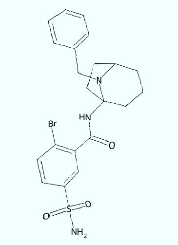 NS(=O)(=O)c1ccc(Br)c(C(=O)NC23CCCC(CC2)N3Cc2ccccc2)c1